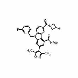 CNC(=O)c1cc(-c2c(C)noc2C)cc2c1c1cc(C(=O)N3CC(F)C3)ccc1n2Cc1cccc(F)c1